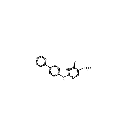 CCOC(=O)c1cnc(Nc2ccc(-c3ccncc3)cc2)[nH]c1=O